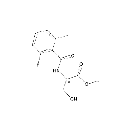 COC(=O)[C@H](CO)NC(=O)c1c(F)cccc1F